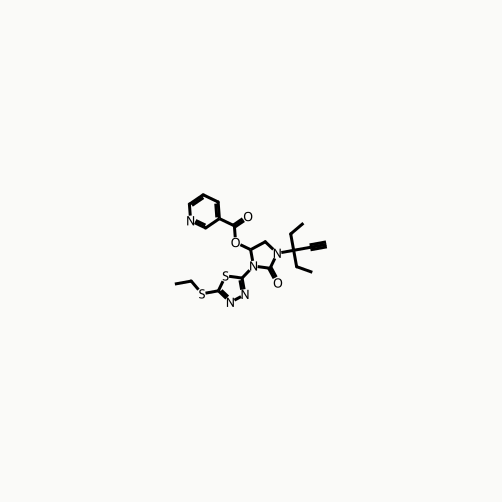 C#CC(CC)(CC)N1CC(OC(=O)c2cccnc2)N(c2nnc(SCC)s2)C1=O